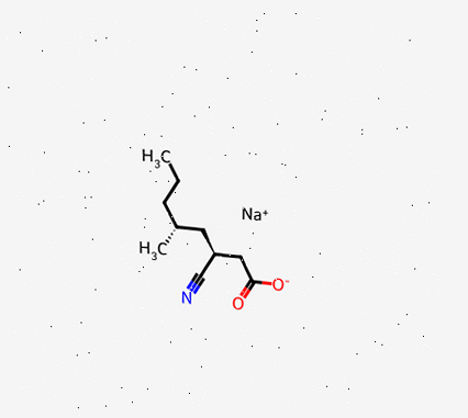 CCC[C@@H](C)C[C@H](C#N)CC(=O)[O-].[Na+]